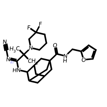 CC(C)(/C(=N\C#N)NC1C2CC3CC1CC(C(=O)NCc1ccco1)(C3)C2)N1CCCC(F)(F)C1